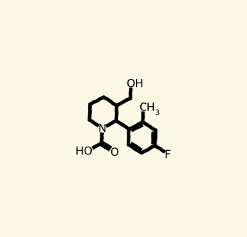 Cc1cc(F)ccc1C1C(CO)CCCN1C(=O)O